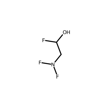 OC(F)CN(F)F